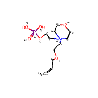 C=CCOCC[N+]1(CCOP(=O)(O)O)CCOCC1